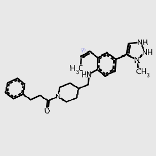 C/C=C\c1cc(C2=CNNN2C)ccc1NCC1CCN(C(=O)CCc2ccccc2)CC1